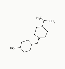 CC(C)C1CCN(CC2CCC(O)CC2)CC1